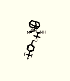 [2H]C12CC3CC(C1)C(N(C#N)C(=N)C(C)(C)OCc1ccc(C(F)(F)F)cc1)C(C3)C2